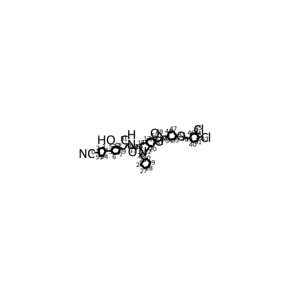 N#Cc1ccc(-c2ccc(CC(NC(=O)[C@@H]3Cc4cc5c(cc4CN3Cc3ccccc3)O[C@@H](c3ccc(OCc4ccc(Cl)c(Cl)c4)cc3)CO5)C(=O)O)cc2)cc1